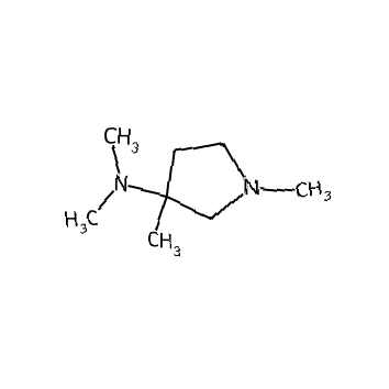 CN1CCC(C)(N(C)C)C1